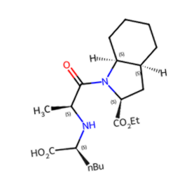 CCCC[C@H](N[C@@H](C)C(=O)N1[C@H](C(=O)OCC)C[C@@H]2CCCC[C@@H]21)C(=O)O